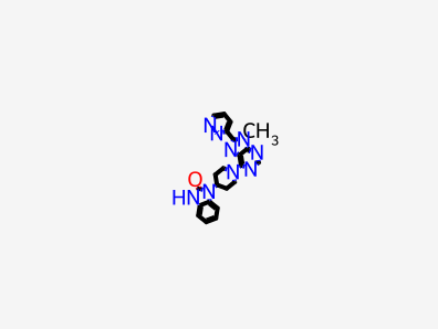 Cn1c(-c2cccnn2)nc2c(N3CCC(n4c(=O)[nH]c5ccccc54)CC3)ncnc21